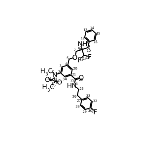 CN(c1cc(COC[C@](N)(Cc2ccccc2)C(F)F)cc(C(=O)NCCc2ccc(F)cc2)c1)S(C)(=O)=O